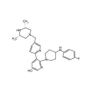 C[C@@H]1CN(Cc2ccc(-c3cccnc3N3CCC(Nc4ccc(F)cc4)CC3)nc2)C[C@H](C)N1.Cl